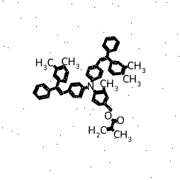 C=C(C)C(=O)OCc1ccc(N(c2ccc(/C=C(/c3ccccc3)c3ccc(C)c(C)c3)cc2)c2ccc(/C=C(/c3ccccc3)c3ccc(C)c(C)c3)cc2)c(C)c1